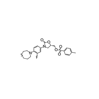 Cc1ccc(S(=O)(=O)OC[C@H]2CN(c3ccc(N4CCCSCC4)c(F)c3)C(=O)O2)cc1